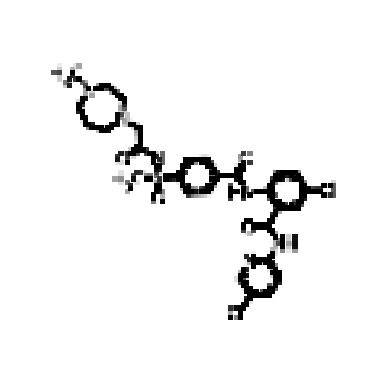 CN1CCCN(CC(=O)N=S(C)(=O)c2ccc(C(=O)Nc3ccc(Cl)cc3C(=O)Nc3ccc(Cl)cn3)cc2)CC1